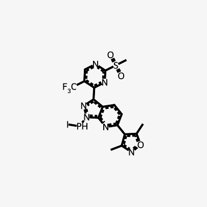 Cc1noc(C)c1-c1ccc2c(-c3nc(S(C)(=O)=O)ncc3C(F)(F)F)nn(PI)c2n1